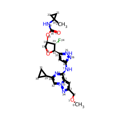 COCc1cc2c(Nc3cc([C@H]4OC[C@@H](OC(=O)NC5(C)CC5)[C@@H]4F)[nH]n3)nc(C3CC3)cn2n1